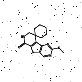 CSc1ncc2sc3c(c2n1)C1(CCCCC1)CNC3=O